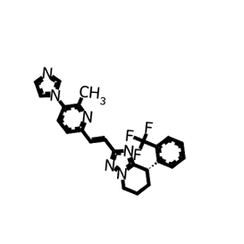 Cc1nc(/C=C/c2nc3n(n2)CCC[C@H]3c2ccccc2C(F)(F)F)ccc1-n1ccnc1